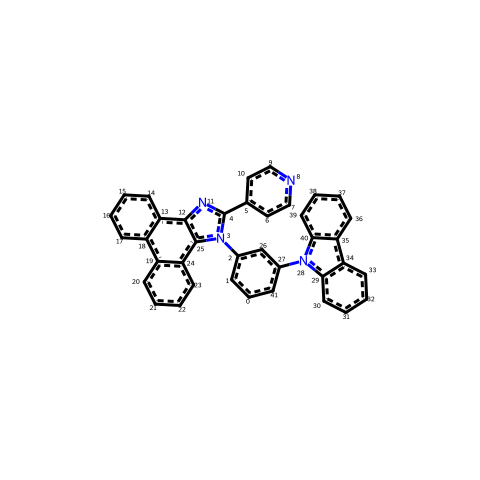 c1cc(-n2c(-c3ccncc3)nc3c4ccccc4c4ccccc4c32)cc(-n2c3ccccc3c3ccccc32)c1